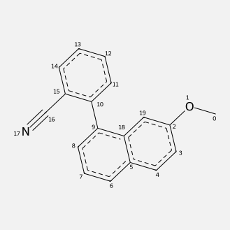 COc1ccc2cccc(-c3ccccc3C#N)c2c1